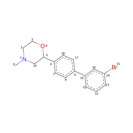 CN1CCOC(c2ccc(-c3[c]ccc(Br)c3)cc2)C1